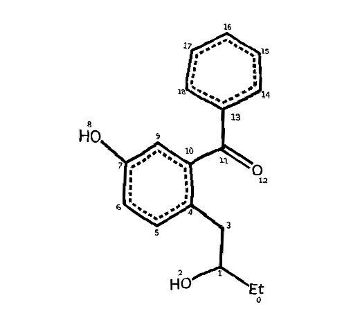 CCC(O)Cc1ccc(O)cc1C(=O)c1ccccc1